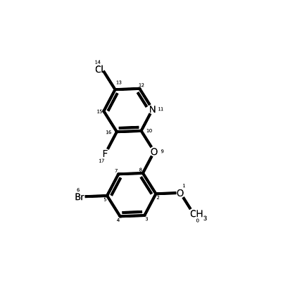 COc1ccc(Br)cc1Oc1ncc(Cl)cc1F